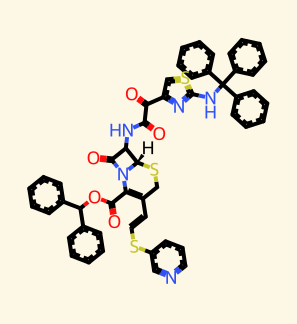 O=C(NC1C(=O)N2C(C(=O)OC(c3ccccc3)c3ccccc3)=C(C=CSc3cccnc3)CS[C@@H]12)C(=O)c1csc(NC(c2ccccc2)(c2ccccc2)c2ccccc2)n1